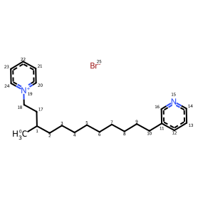 CC(CCCCCCCCCc1cccnc1)CC[n+]1ccccc1.[Br-]